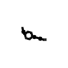 C#Cc1ccc(C#Cc2ccc(N3CCOCCOCCN(Cc4ccc(C#N)cc4)CCOCCOCC3)cc2)cc1